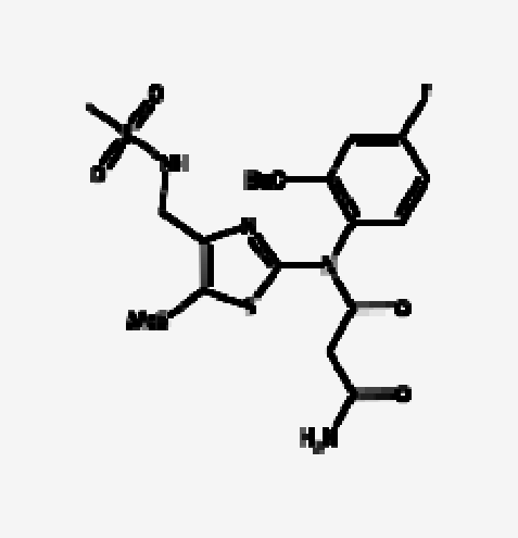 CSc1sc(N(C(=O)CC(N)=O)c2ccc(F)cc2OCC(C)C)nc1CNS(C)(=O)=O